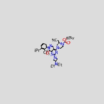 CCN(CC)C1CN(c2nc(N3CCN(C(=O)OC(C)(C)C)C(CC#N)C3)c3cnn(-c4cccc(C(C)C)c4C(F)(F)F)c(=O)c3n2)C1